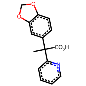 CC(C(=O)O)(c1ccc2c(c1)OCO2)c1ccccn1